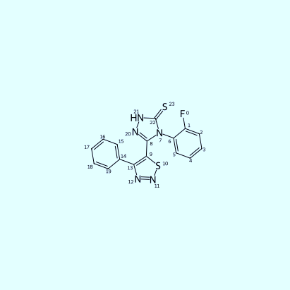 Fc1ccccc1-n1c(-c2snnc2-c2ccccc2)n[nH]c1=S